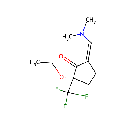 CCO[C@@]1(C(F)(F)F)CC/C(=C/N(C)C)C1=O